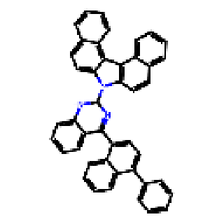 c1ccc(-c2ccc(C3=NC(n4c5ccc6ccccc6c5c5c6ccccc6ccc54)Nc4ccccc43)c3ccccc23)cc1